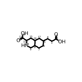 O=C(O)CCC1CCC2CNC(C(=O)O)CC2C1